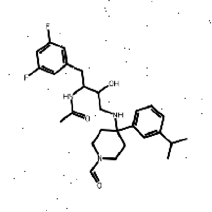 CC(=O)NC(Cc1cc(F)cc(F)c1)C(O)CNC1(c2cccc(C(C)C)c2)CCN(C=O)CC1